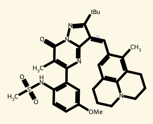 COc1ccc(NS(C)(=O)=O)c(-c2nc3/c(=C\c4cc5c6c(c4C)CCCN6CCC5)c(C(C)(C)C)nn3c(=O)c2C)c1